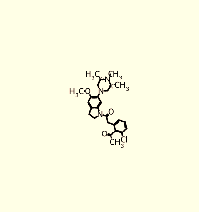 COc1cc2c(cc1N1C[C@@H](C)N(C)[C@@H](C)C1)N(C(=O)Cc1cccc(Cl)c1C(C)=O)CC2